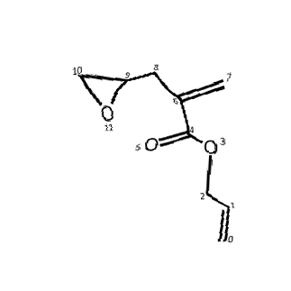 C=CCOC(=O)C(=C)CC1CO1